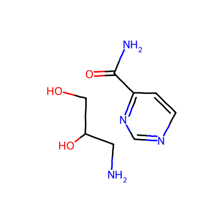 NC(=O)c1ccncn1.NCC(O)CO